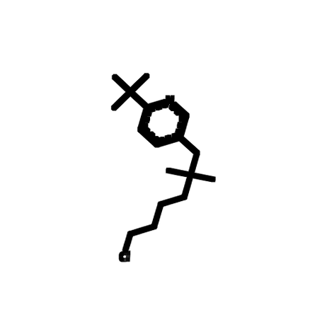 CC(C)(CCCCCl)Cc1ccc(C(C)(C)C)nc1